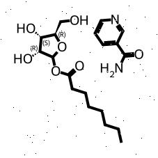 CCCCCCCC(=O)OC1O[C@H](CO)[C@@H](O)[C@H]1O.NC(=O)c1cccnc1